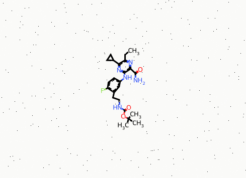 CCc1nc(C(N)=O)c(Nc2ccc(F)c(CCNC(=O)OC(C)(C)C)c2)nc1C1CC1